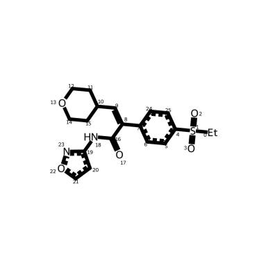 CCS(=O)(=O)c1ccc(C(=CC2CCOCC2)C(=O)Nc2ccon2)cc1